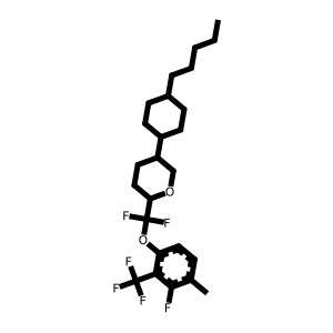 CCCCCC1CCC(C2CCC(C(F)(F)Oc3ccc(C)c(F)c3C(F)(F)F)OC2)CC1